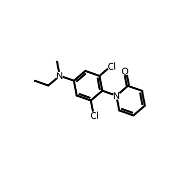 CCN(C)c1cc(Cl)c(-n2ccccc2=O)c(Cl)c1